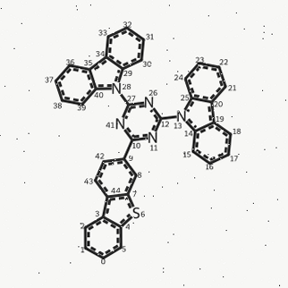 c1ccc2c(c1)sc1cc(-c3nc(-n4c5ccccc5c5ccccc54)nc(-n4c5ccccc5c5ccccc54)n3)ccc12